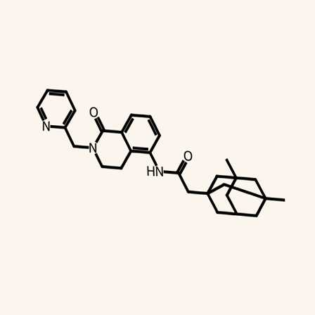 CC12CC3CC(C)(C1)CC(CC(=O)Nc1cccc4c1CCN(Cc1ccccn1)C4=O)(C3)C2